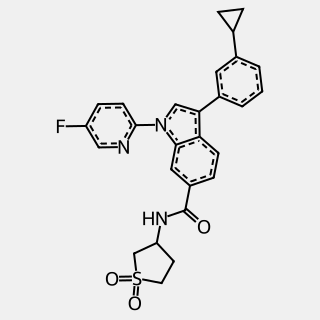 O=C(NC1CCS(=O)(=O)C1)c1ccc2c(-c3cccc(C4CC4)c3)cn(-c3ccc(F)cn3)c2c1